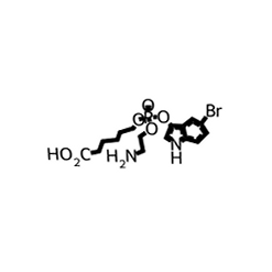 NCCOP(=O)(OCCCCCC(=O)O)Oc1c[nH]c2ccc(Br)cc12